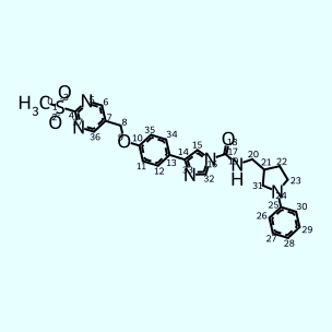 CS(=O)(=O)c1ncc(COc2ccc(-c3cn(C(=O)NCC4CCN(c5ccccc5)C4)cn3)cc2)cn1